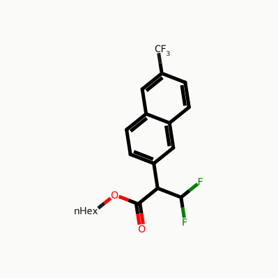 CCCCCCOC(=O)C(c1ccc2cc(C(F)(F)F)ccc2c1)C(F)F